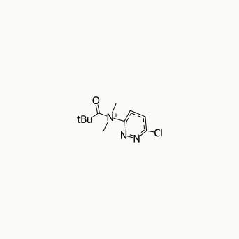 CC(C)(C)C(=O)[N+](C)(C)c1ccc(Cl)nn1